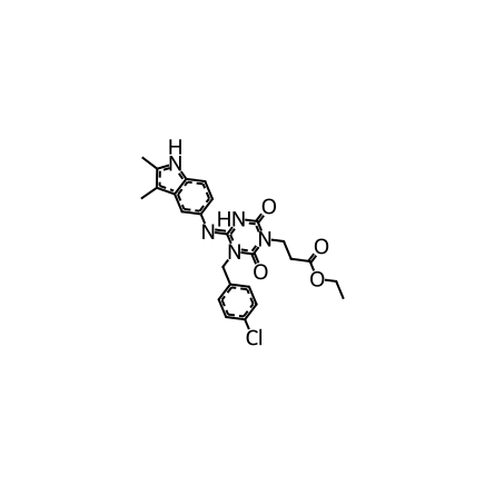 CCOC(=O)CCn1c(=O)[nH]/c(=N\c2ccc3[nH]c(C)c(C)c3c2)n(Cc2ccc(Cl)cc2)c1=O